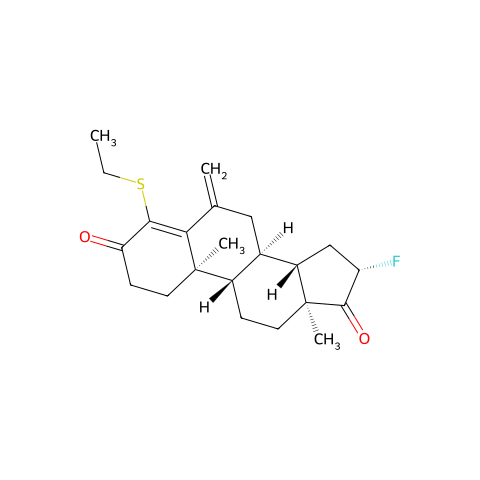 C=C1C[C@@H]2[C@H](CC[C@]3(C)C(=O)[C@@H](F)C[C@@H]23)[C@@]2(C)CCC(=O)C(SCC)=C12